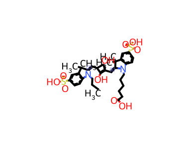 CCCCN1/C(=C\C2C(O)=C(/C=C3/N(CCCCCC(=O)O)c4ccc(S(=O)(=O)O)cc4C3(C)C)C2O)C(C)(C)c2cc(S(=O)(=O)O)ccc21